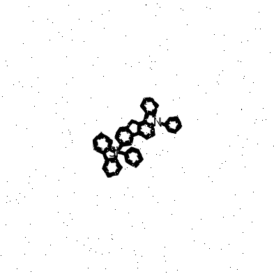 c1ccc(-n2c3ccccc3c3c4c(ccc32)-c2cc([Si]3(c5ccccc5)c5ccccc5-c5ccccc53)ccc2C4)cc1